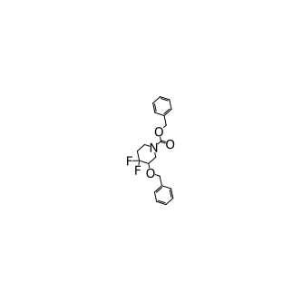 O=C(OCc1ccccc1)N1CCC(F)(F)C(OCc2ccccc2)C1